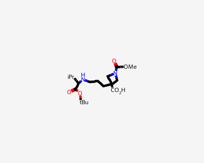 COC(=O)N1CC(CCCNC(C(=O)OC(C)(C)C)C(C)C)(C(=O)O)C1